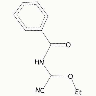 CCOC(C#N)NC(=O)c1ccccc1